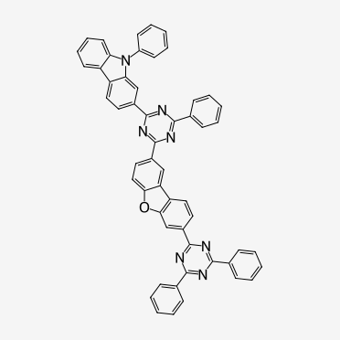 c1ccc(-c2nc(-c3ccccc3)nc(-c3ccc4c(c3)oc3ccc(-c5nc(-c6ccccc6)nc(-c6ccc7c8ccccc8n(-c8ccccc8)c7c6)n5)cc34)n2)cc1